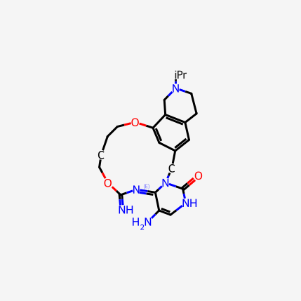 CC(C)N1CCc2cc3cc(c2C1)OCCCCOC(=N)/N=C1\C(N)=CNC(=O)N1C3